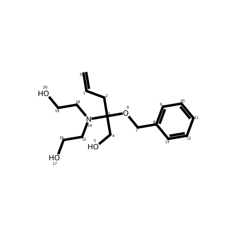 C=CCC(CO)(OCc1ccccc1)N(CCO)CCO